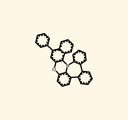 c1ccc(-c2cc3c(c4ccccc24)N2c4ccccc4-c4ccccc4-c4cccc(c42)O3)cc1